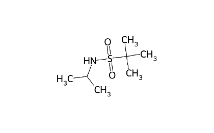 CC(C)NS(=O)(=O)C(C)(C)C